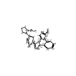 CC(=O)N1CCCC1c1cn(-c2nnc3c4ccccc4n4c(F)ncc4n23)nn1